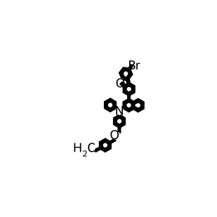 C=Cc1ccc(COCc2ccc(N(c3ccccc3)c3cc(-c4ccc5c(c4)oc4ccc(Br)cc45)c4ccccc4c3)cc2)cc1